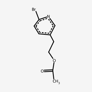 CC(=O)OCCc1ccc(Br)nc1